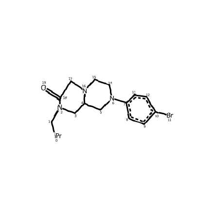 CC(C)CN1CC2CN(c3ccc(Br)cc3)CCN2CC1=O